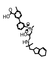 Cc1ccc(-c2cccc(S(=O)(=O)N(C)C[C@H](O)CNC(C)(C)CC3CC4=C(CCC=C4)C3)c2)cc1C(=O)O